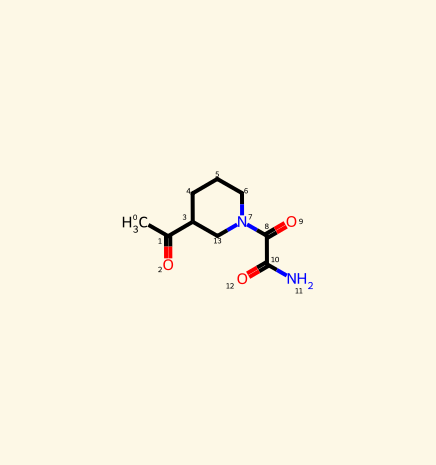 CC(=O)C1CCCN(C(=O)C(N)=O)C1